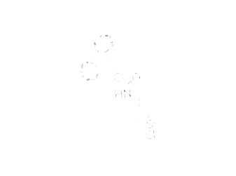 CS(C)(Cl)CCCNC(=O)OCC1c2ccccc2-c2ccccc21